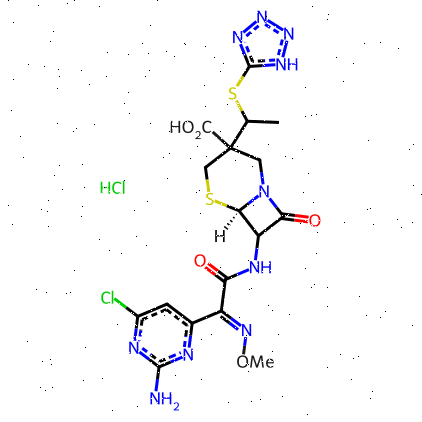 CON=C(C(=O)NC1C(=O)N2CC(C(=O)O)(C(C)Sc3nnn[nH]3)CS[C@H]12)c1cc(Cl)nc(N)n1.Cl